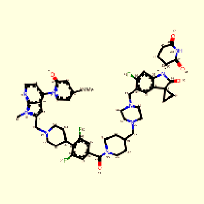 CNc1ccn(-c2ccnc3c2cc(CN2CCC(c4c(F)cc(C(=O)N5CCC(CN6CCN(Cc7cc8c(cc7F)N([C@@H]7CCC(=O)NC7=O)C(=O)C87CC7)CC6)CC5)cc4F)CC2)n3C)c(=O)c1